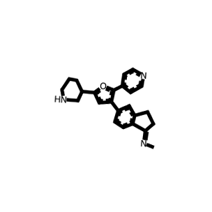 C/N=C1\CCc2cc(-c3cc(C4CCCNC4)oc3-c3ccncc3)ccc21